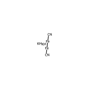 N#[C][Fe][Fe][C]#N.[KH].[KH]